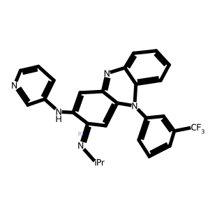 CC(C)/N=c1\cc2n(-c3cccc(C(F)(F)F)c3)c3ccccc3nc-2cc1Nc1cccnc1